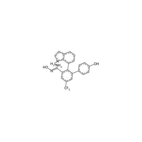 Cn1ccc2cccc(-c3c(/C(N)=N/O)cc(C(F)(F)F)cc3-c3ccc(O)cc3)c21